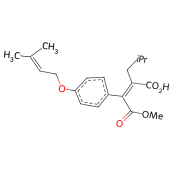 COC(=O)C(=C(CC(C)C)C(=O)O)c1ccc(OCC=C(C)C)cc1